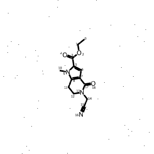 CCOC(=O)c1cc2c(n1C)CCN(CC#N)C2=O